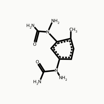 Cc1ccc(N(N)C(N)=O)cc1N(N)C(N)=O